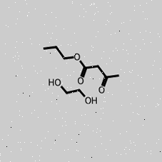 CCCOC(=O)CC(C)=O.OCCO